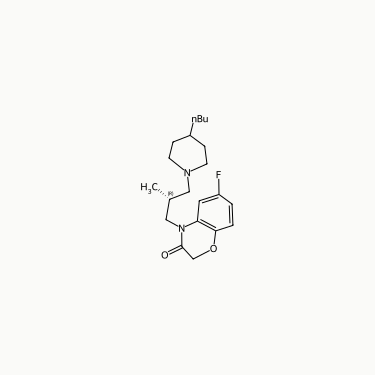 CCCCC1CCN(C[C@@H](C)CN2C(=O)COc3ccc(F)cc32)CC1